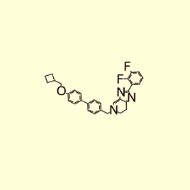 Fc1cccc(C2=NC3=CN(Cc4ccc(-c5ccc(OCC6CCC6)cc5)cc4)CCC3=N2)c1F